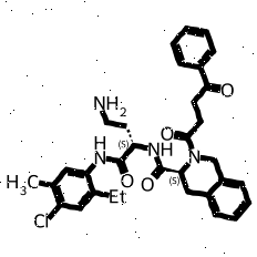 CCc1cc(Cl)c(C)cc1NC(=O)[C@H](CCN)NC(=O)[C@@H]1Cc2ccccc2CN1C(=O)CCC(=O)c1ccccc1